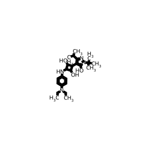 CCN(CC)c1ccc(NC2C(O)C(c3c(C(C)C)nn(C(C)(C)C)c3O)C2O)cc1